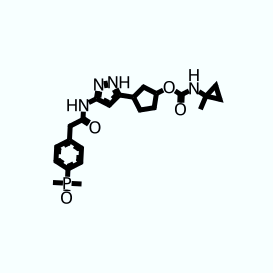 CC1(NC(=O)OC2CCC(c3cc(NC(=O)Cc4ccc(P(C)(C)=O)cc4)n[nH]3)C2)CC1